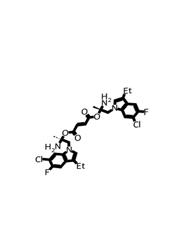 CCc1cn(C[C@@](C)(N)OC(=O)/C=C/C(=O)O[C@](C)(N)Cn2cc(CC)c3cc(F)c(Cl)cc32)c2cc(Cl)c(F)cc12